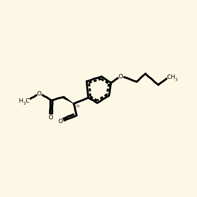 CCCCOc1ccc([C@@H](C=O)CC(=O)OC)cc1